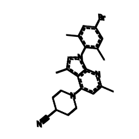 Cc1cc(N2CCC(C#N)CC2)c2c(C)cn(-c3c(C)cc(Br)cc3C)c2n1